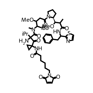 CCC(C)C(C(CC(=O)N1CCC[C@H]1C(OC)C(C)C(=O)NC(Cc1ccccc1)c1nccs1)OC)N(C)C(=O)C(N)(C(=O)C1(NC(=O)CCCCCN2C(=O)C=CC2=O)CC1)C(C)C